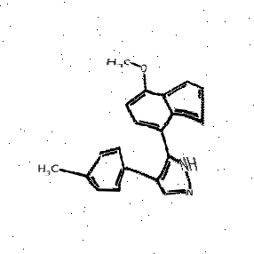 COc1ccc(-c2[nH]ncc2-c2ccc(C)cc2)c2ccccc12